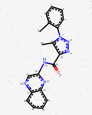 Cc1ccccc1-n1nnc(C(=O)Nc2cnc3ccccc3n2)c1C